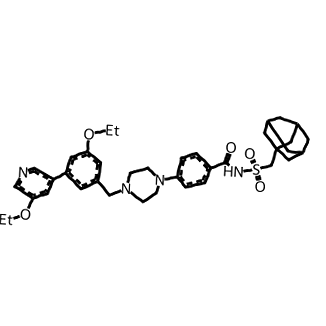 CCOc1cncc(-c2cc(CN3CCN(c4ccc(C(=O)NS(=O)(=O)CC56CC7CC(CC(C7)C5)C6)cc4)CC3)cc(OCC)c2)c1